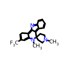 CN1CCC2(CC1)C1=c3ccccc3=NC1=C1CC=C(C(F)(F)F)C=C1N2C